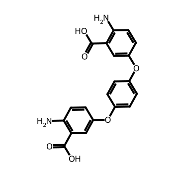 Nc1ccc(Oc2ccc(Oc3ccc(N)c(C(=O)O)c3)cc2)cc1C(=O)O